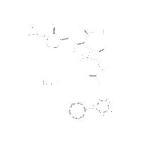 O=C(CSc1nnnn1-c1ccccc1)N[C@@H]1C(=O)N2C(C(=O)O)=C(/C=C3\CCN(C4CC4)C3=O)CS[C@H]12.[NaH]